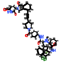 CN1[C@@H](C(=O)N[C@H]2CC[C@H](C(=O)N3CCC(C#Cc4cccc5c4CN(C4CCC(=O)NC4=O)C5=O)CC3)CC2)[C@H](c2cccc(Cl)c2F)[C@]2(C(=O)Nc3cc(Cl)ccc32)C12CCCCC2